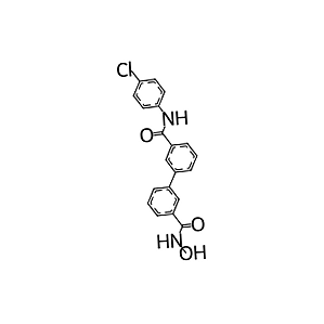 O=C(NO)c1cccc(-c2cccc(C(=O)Nc3ccc(Cl)cc3)c2)c1